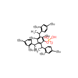 CC(c1ccc(C(C)(C)C)cc1C(C)(C)C)c1c(OP(=O)(O)O)c(C(C)(C)C)c(C(C)c2ccc(C(C)(C)C)cc2C(C)(C)C)c(C(C)(C)C)c1C(C)c1ccc(C(C)(C)C)cc1C(C)(C)C